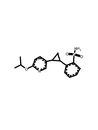 CC(C)Oc1ccc(C2CC2c2ccccc2S(N)(=O)=O)cn1